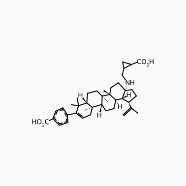 C=C(C)[C@@H]1CC[C@]2(NCC3CC3C(=O)O)CC[C@]3(C)[C@H](CC[C@@H]4[C@@]5(C)CC=C(c6ccc(C(=O)O)cc6)C(C)(C)[C@@H]5CC[C@]43C)[C@@H]12